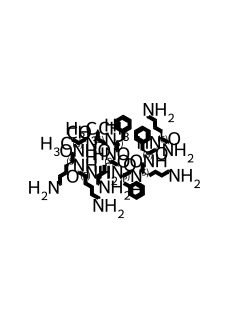 CC(C)[C@H](NC(=O)[C@H](CCCCN)NC(=O)[C@@H](N)CCCCN)C(=O)N[C@H](C(=O)N[C@@H](Cc1ccccc1)C(=O)N[C@@H](CCCCN)C(=O)N[C@@H](Cc1ccccc1)C(=O)N[C@@H](CCCCN)C(=O)N[C@@H](Cc1ccccc1)C(=O)N[C@@H](CCCCN)C(N)=O)C(C)C